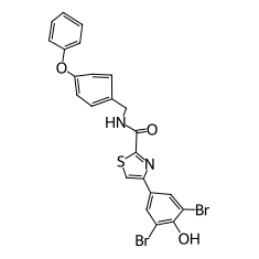 O=C(NCc1ccc(Oc2ccccc2)cc1)c1nc(-c2cc(Br)c(O)c(Br)c2)cs1